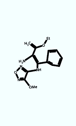 C=C(OCC)/C(N)=C(/Nc1nonc1OC)c1ccccc1